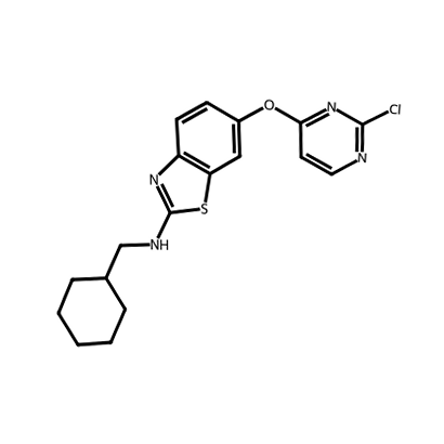 Clc1nccc(Oc2ccc3nc(NCC4CCCCC4)sc3c2)n1